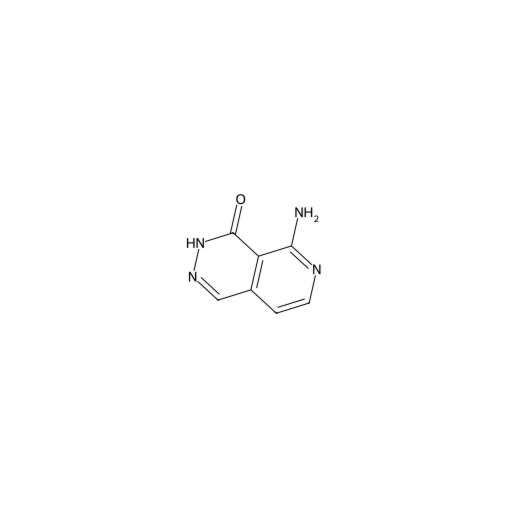 Nc1nccc2cn[nH]c(=O)c12